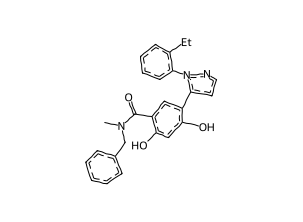 CCc1ccccc1-n1nccc1-c1cc(C(=O)N(C)Cc2ccccc2)c(O)cc1O